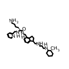 C[C@@H]1CCCCC1NCCCNCC1CCc2c(CNC(=O)[C@H](CCCCN)NCc3ccccn3)cccc21